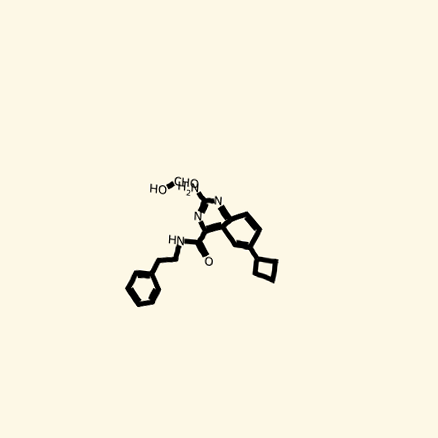 Nc1nc(C(=O)NCCc2ccccc2)c2cc(C3CCC3)ccc2n1.O=CO